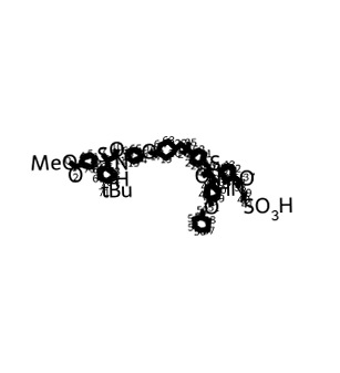 COC(=O)c1ccc(SC(C(=O)Nc2ccc(OCC3CCC(CC(C)(C)c4ccc(C(Sc5ccc(C(=O)NCCS(=O)(=O)O)cc5)C(=O)Nc5ccc(OCC6CCCCC6)cc5)cc4)CC3)cc2)c2ccc(C(C)(C)C)cc2)cc1